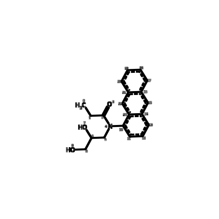 CCC(=O)N(CC(O)CO)c1cccc2cc3ccccc3cc12